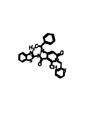 Cc1c2c(=O)n(-c3nc4ccccc4s3)n(C(C)c3ccccc3)c2cc(=O)n1Cc1ccccn1